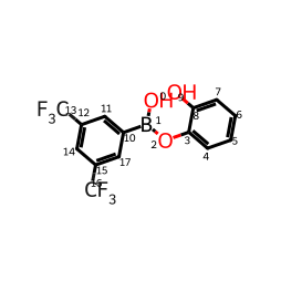 OB(Oc1ccccc1O)c1cc(C(F)(F)F)cc(C(F)(F)F)c1